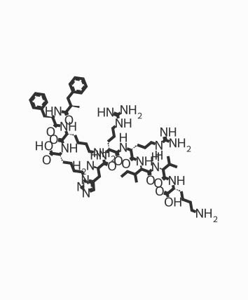 CCC(C)[C@@H](NC(=O)[C@@H](CCCNC(=N)N)NC(=O)[C@@H](CCCNC(=N)N)NC(=O)[C@H](N)Cc1cnnn1CCCC[C@@H](NC(=O)[C@@H](CCCCN)NC(=O)[C@@H](Cc1ccccc1)NC(=O)[C@H](C)Cc1ccccc1)C(=O)O)C(=O)N[C@@H](C(=O)N[C@H](CCCCN)C(=O)O)C(C)C